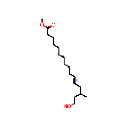 COC(=O)CCCCCCCCC/C=C/CC(C)CCO